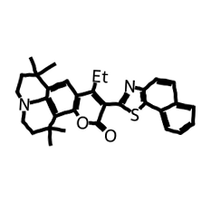 CCc1c(-c2nc3ccc4ccccc4c3s2)c(=O)oc2c3c4c(cc12)C(C)(C)CCN4CCC3(C)C